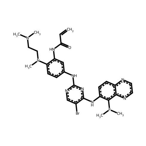 C=CC(=O)Nc1cc(Nc2ncc(Br)c(Nc3ccc4nccnc4c3P(C)C)n2)ccc1N(C)CCN(C)C